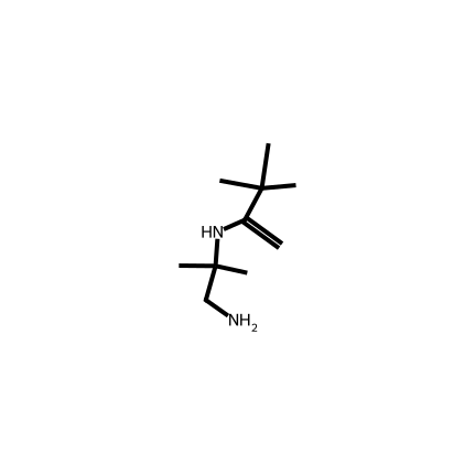 C=C(NC(C)(C)CN)C(C)(C)C